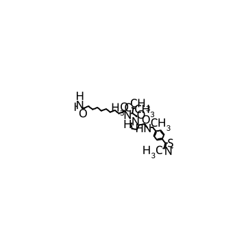 Cc1ncsc1-c1ccc([C@H](C)NC(=O)C2CCCN2C(=O)C(NC(=O)CCCCCCCCC(=O)NI)C(C)(C)C)cc1